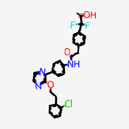 C[C@@H](O)C(F)(F)c1ccc(CC(=O)Nc2ccc(-c3nccnc3OCCc3ccccc3Cl)cc2)cc1